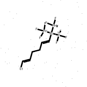 CCC=CCCC=[CH][Ru]([PH](F)(F)F)([PH](F)(F)F)[PH](F)(F)F